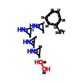 C1CN1.C1CN1.C1CN1.C1CN1.CC(C)c1ccccc1.OO